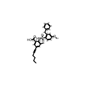 CCCCC#Cc1cc(C)c(NS(=O)(=O)c2ccc(OC)cc2Cc2ccccc2)c(C(=O)O)c1